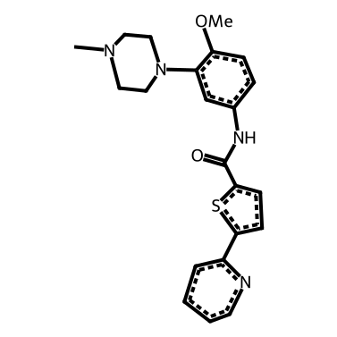 COc1ccc(NC(=O)c2ccc(-c3ccccn3)s2)cc1N1CCN(C)CC1